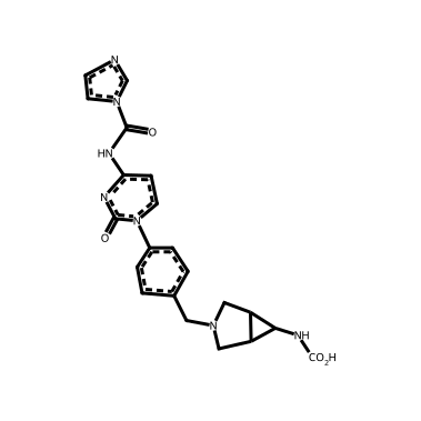 O=C(O)NC1C2CN(Cc3ccc(-n4ccc(NC(=O)n5ccnc5)nc4=O)cc3)CC21